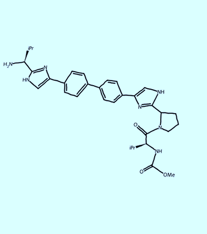 COC(=O)N[C@H](C(=O)N1CCCC1c1nc(-c2ccc(-c3ccc(-c4c[nH]c([C@@H](N)C(C)C)n4)cc3)cc2)c[nH]1)C(C)C